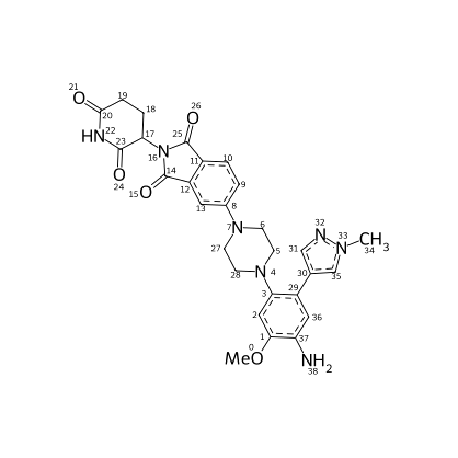 COc1cc(N2CCN(c3ccc4c(c3)C(=O)N(C3CCC(=O)NC3=O)C4=O)CC2)c(-c2cnn(C)c2)cc1N